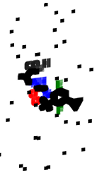 CC(CNC(=O)CN1C(=O)C(C)(C)c2c(F)c(C3CC3)cc(F)c21)[C@@H](C)C(=O)O